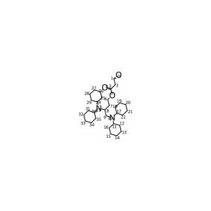 O=CCC(=O)OCCC(CN(C1CCCCC1)C1CCCCC1)N(C1CCCCC1)C1CCCCC1